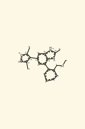 COCc1ccccc1-c1cc(-c2c(C)noc2C)cc2[nH]c(C)nc12